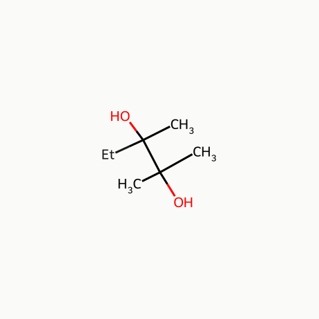 CCC(C)(O)C(C)(C)O